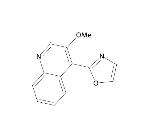 COc1[c]nc2ccccc2c1-c1ncco1